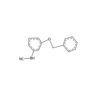 N#CBc1cccc(OCc2ccccc2)c1